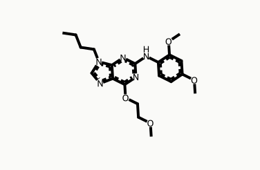 CCCCn1cnc2c(OCCOC)nc(Nc3ccc(OC)cc3OC)nc21